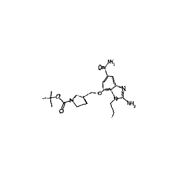 CCCn1c(N)nc2cc(C(N)=O)cc(OCC3CCN(C(=O)OC(C)(C)C)C3)c21